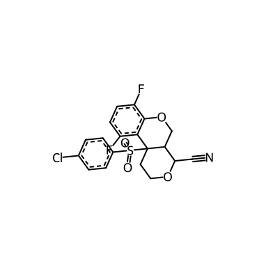 N#CC1OCCC2(S(=O)(=O)c3ccc(Cl)cc3)c3c(F)ccc(F)c3OCC12